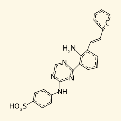 Nc1c(C=Cc2ccccc2)cccc1-c1ncnc(Nc2ccc(S(=O)(=O)O)cc2)n1